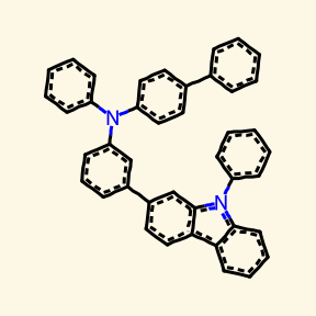 c1ccc(-c2ccc(N(c3ccccc3)c3cccc(-c4ccc5c6ccccc6n(-c6ccccc6)c5c4)c3)cc2)cc1